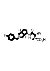 CC(C)[C@@H](C(=O)N[C@@H]1CC[C@H]2CN(Cc3ccc(F)cc3)C[C@H]21)N(C)C(=O)O